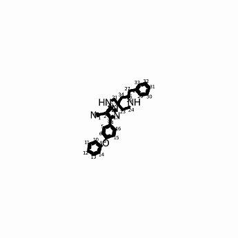 N#Cc1c(-c2ccc(Oc3ccccc3)cc2)nn2c1NCC21CCNC(Cc2ccccc2)C1